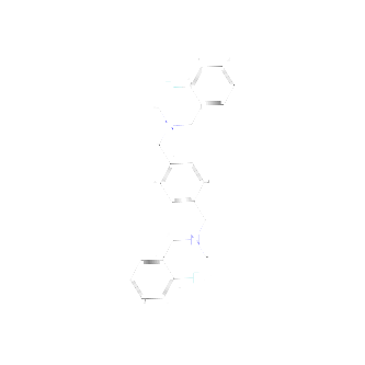 CN(Cc1ccc(CN(C)Cc2ccccc2F)cc1)Cc1ccccc1F